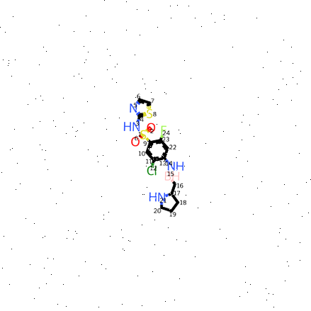 O=S(=O)(Nc1nccs1)c1cc(Cl)c(NBCC2CCCN2)cc1F